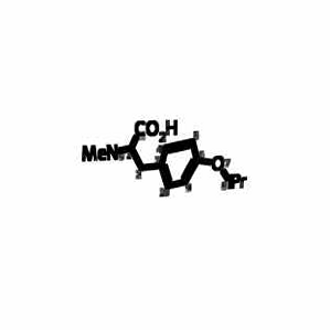 CNC(Cc1ccc(OC(C)C)cc1)C(=O)O